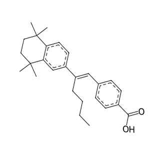 CCCCC(=Cc1ccc(C(=O)O)cc1)c1ccc2c(c1)C(C)(C)CCC2(C)C